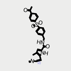 C=N/C=C\c1[nH]c(C(=O)NCc2ccc(S(=O)(=O)c3ccc(C(C)=O)cc3)cc2)cc1C